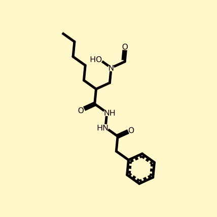 CCCCCC(CN(O)C=O)C(=O)NNC(=O)Cc1ccccc1